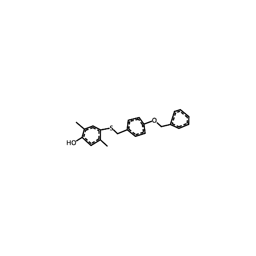 Cc1cc(SCc2ccc(OCc3ccccc3)cc2)c(C)cc1O